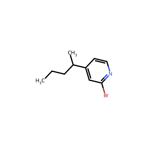 CCCC(C)c1ccnc(Br)c1